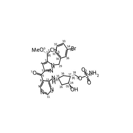 CO[C@H](C)c1cc(C(=O)c2cncnc2N[C@@H]2C[C@H](COS(N)(=O)=O)[C@@H](O)C2)nn1Cc1cccc(Br)c1